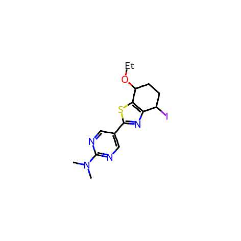 CCOC1CCC(I)c2nc(-c3cnc(N(C)C)nc3)sc21